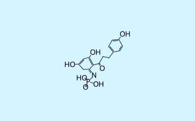 O=C(CCc1ccc(O)cc1)C1=C(O)C=C(O)CC1=NP(=O)(O)O